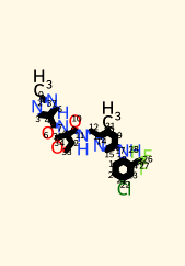 Cc1ncc(C(=O)N[C@@]2(C(=O)NCc3ncc(Nc4ccc(Cl)cc4C(F)(F)F)cc3C)CCOC2)cn1